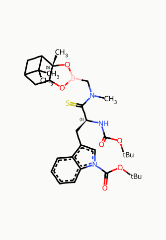 CN(CB1OC2CC3CC(C3(C)C)[C@]2(C)O1)C(=S)[C@H](Cc1cn(C(=O)OC(C)(C)C)c2ccccc12)NC(=O)OC(C)(C)C